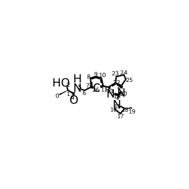 C[C@@H](O)C(=O)NCc1cccc(-c2nc(N3CC[C@@H]3C)nc3c2CCC3)c1